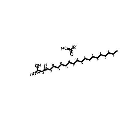 CCCCCCCCCCCCCCCCCCNCC(O)O.O=[N+]([O-])O